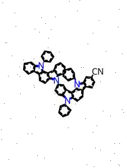 N#Cc1ccc2c3ccc4c(c5cc(-n6c7ccccc7c7c6ccc6c8ccccc8n(-c8ccccc8)c67)ccc5n4-c4ccccc4)c3n(-c3ccccc3)c2c1